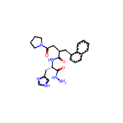 NNC(=O)[C@H](Cc1c[nH]cn1)NC(=O)C(CC(=O)N1CCCC1)Cc1cccc2ccccc12